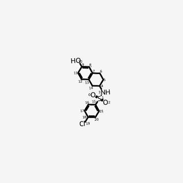 O=S(=O)(NC1CCc2[c]c(O)ccc2C1)c1ccc(Cl)cc1